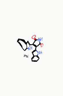 O=C1NC(=O)C(c2cc3ccccc3[nH]2)=C1c1cc2ccccc2[nH]1.[Pb]